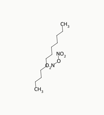 CCCCCCCCCCCC.O=[N+]([O-])O[N+](=O)[O-]